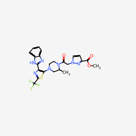 COC(=O)c1ccn(CC(=O)N2CCN(c3sc(C(F)(F)F)nc3-c3nc4ccccc4[nH]3)CC2C)n1